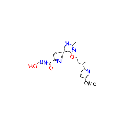 COc1ccc([C@H](C)CCOc2nc(C)ncc2-c2ccc(C(=O)NCCO)nc2)nc1